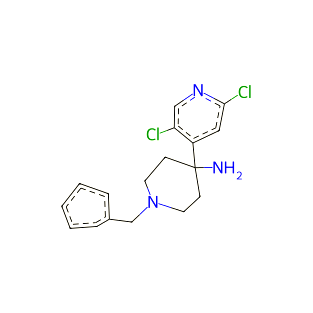 NC1(c2cc(Cl)ncc2Cl)CCN(Cc2ccccc2)CC1